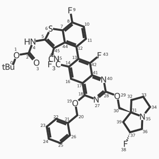 CC(C)(C)OC(=O)Nc1sc2c(F)ccc(-c3c(C(F)(F)F)cc4c(OCc5ccccc5)nc(OC[C@@]56CCCN5C[C@H](F)C6)nc4c3F)c2c1C#N